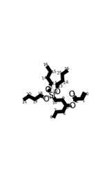 C=CC(=O)OC(CCC)CC[Si](OCCCC)(OCCCC)OCCCC